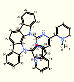 CN1CC=CC=C1c1cc(-c2ccccn2)nc(-n2c3ccccc3c3ccc4c5ccccc5n(-c5ccccc5)c4c32)n1